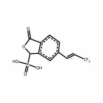 O=C1OC(P(=O)(O)O)c2cc(/C=C/C(F)(F)F)ccc21